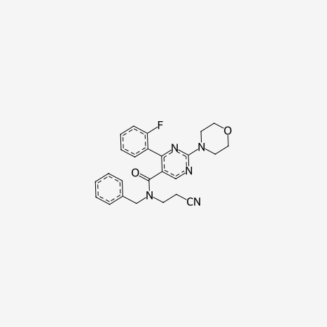 N#CCCN(Cc1ccccc1)C(=O)c1cnc(N2CCOCC2)nc1-c1ccccc1F